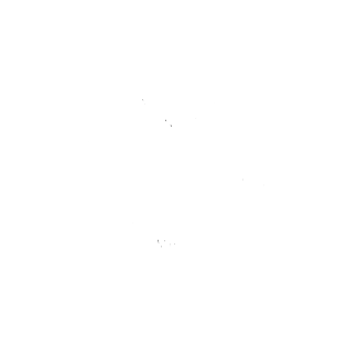 COc1ccc(CC(=O)O)cc1-c1ccc(C)cc1CN(C(C)=O)C1CC1